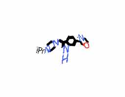 CC(C)N1CCN(Cc2c[nH]c3cc(C4COCC[N]4)ccc23)CC1